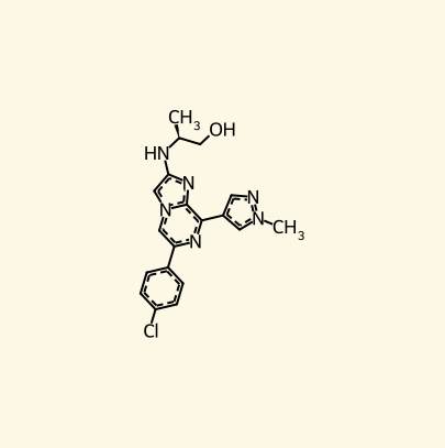 C[C@@H](CO)Nc1cn2cc(-c3ccc(Cl)cc3)nc(-c3cnn(C)c3)c2n1